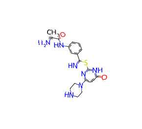 C[C@@H](N)C(=O)Nc1cccc(C(=N)Sc2nc(N3CCNCC3)cc(=O)[nH]2)c1